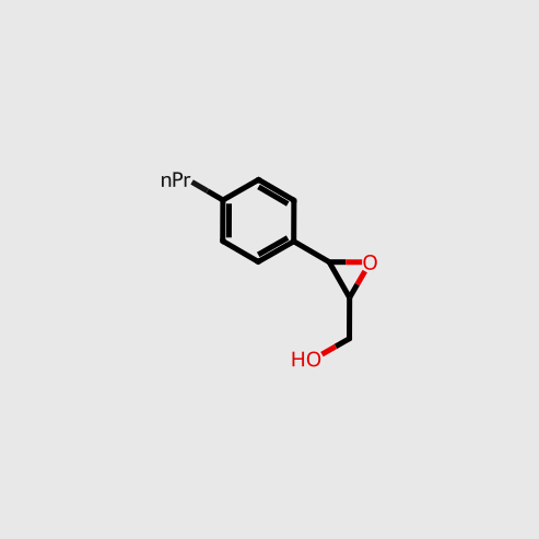 CCCc1ccc(C2OC2CO)cc1